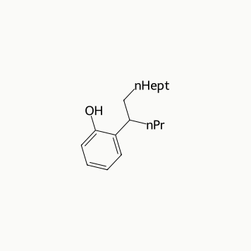 CCCCCCCCC(CCC)c1ccccc1O